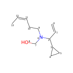 C=CC(C1CC1)N(CO)CC/C=C\C